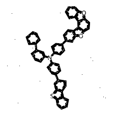 c1ccc(-c2cccc(N(c3ccc(-c4ccc5c(c4)oc4ccc6oc7ccccc7c6c45)cc3)c3ccc(-c4ccc5c(c4)sc4ccccc45)cc3)c2)cc1